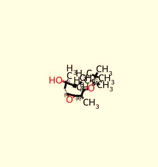 C#C[C@](C)(O)C[C@H]1O[C@@H]1[C@H](C)[C@H](CC)O[Si](C)(C)C(C)(C)C